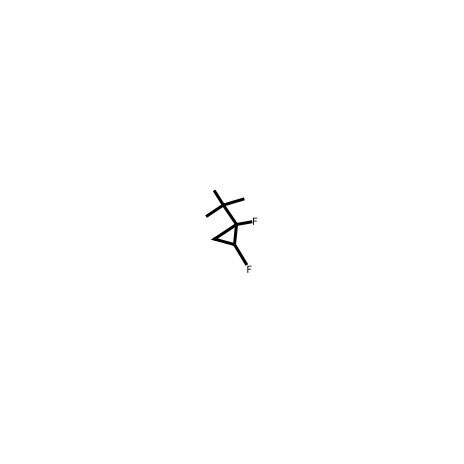 CC(C)(C)C1(F)CC1F